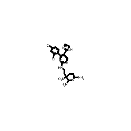 NC1=NC(N)C(CCNc2ncc(-c3ncc[nH]3)c(-c3ccc(Cl)cc3Cl)n2)([N+](=O)[O-])C=C1